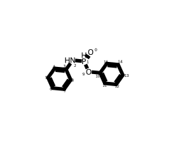 O=[PH](Nc1ccccc1)Oc1ccccc1